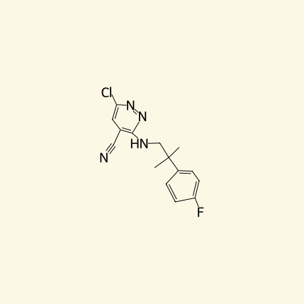 CC(C)(CNc1nnc(Cl)cc1C#N)c1ccc(F)cc1